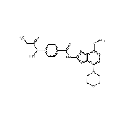 CCC(=O)C(N)c1ccc(C(=O)Nc2nc3c(OC)ccc(N4CCOCC4)c3s2)cc1